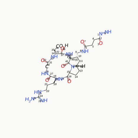 N=NC(=O)CCC(=O)NC[C@@H]1C[C@@H]2CCC3C(=O)N[C@@H](CCCNC(=N)N)C(=O)NCC(=O)N[C@@H](CC(=O)O)C(=O)N[C@H]1C(=O)N32